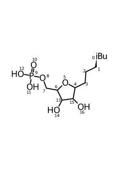 CC[C@H](C)CCCC1OC(COP(=O)(O)O)C(O)C1O